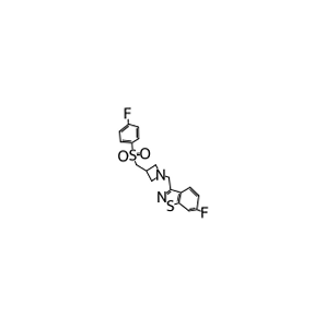 O=S(=O)(CC1CN(Cc2nsc3cc(F)ccc23)C1)c1ccc(F)cc1